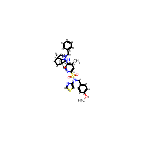 COc1ccc(CN(c2cscn2)S(=O)(=O)c2cc(C)c(N[C@H]3[C@@H]4CC[C@H]3CN(Cc3ccccc3)C4)cn2)cc1